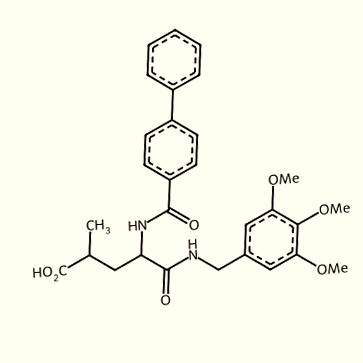 COc1cc(CNC(=O)C(CC(C)C(=O)O)NC(=O)c2ccc(-c3ccccc3)cc2)cc(OC)c1OC